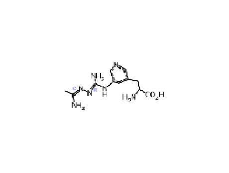 C/C(N)=N/N=C(\N)Nc1cncc(CC(N)C(=O)O)c1